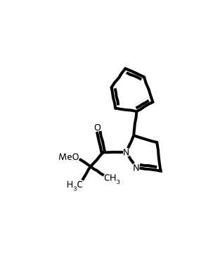 COC(C)(C)C(=O)N1N=CCC1c1ccccc1